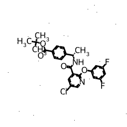 C[C@H](NC(=O)c1cc(Cl)cnc1Oc1cc(F)cc(F)c1)c1ccc(C(=O)OC(C)(C)C)cc1